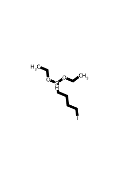 CCO[SiH](CCCCI)OCC